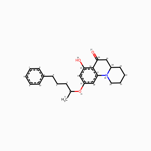 CC(CCCc1ccccc1)Oc1cc(O)c2c(c1)N1CCCCC1CC2=O